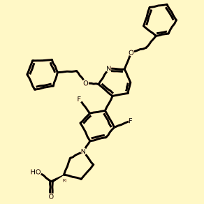 O=C(O)[C@@H]1CCN(c2cc(F)c(-c3ccc(OCc4ccccc4)nc3OCc3ccccc3)c(F)c2)C1